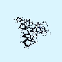 CO/C(C)=C(\C(C)=O)c1c(C)c(C)c(N(c2ccc3c(c2)C(C)(C)c2ccccc2-3)c2ccc3c(c2)C(C)(C)c2ccccc2-3)c(C)c1C